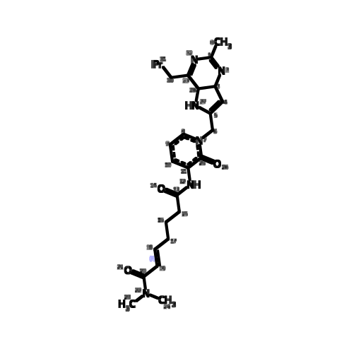 CC1=NC2C=C(Cn3cccc(NC(=O)CCC/C=C/C(=O)N(C)C)c3=O)NC2C(CC(C)C)=N1